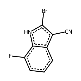 N#Cc1c(Br)[nH]c2c(F)cccc12